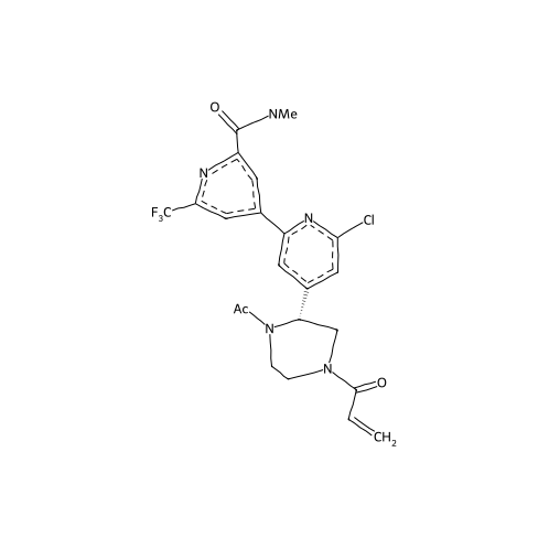 C=CC(=O)N1CCN(C(C)=O)[C@H](c2cc(Cl)nc(-c3cc(C(=O)NC)nc(C(F)(F)F)c3)c2)C1